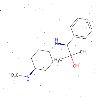 CC(C)(O)[C@@H](N[C@H]1CC[C@H](NC(=O)O)CC1)c1ccccc1